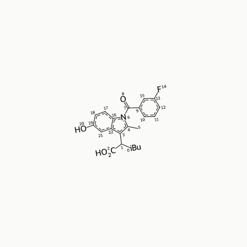 CCC(C)C(C(=O)O)c1c(C)n(C(=O)c2cccc(F)c2)c2ccc(O)cc12